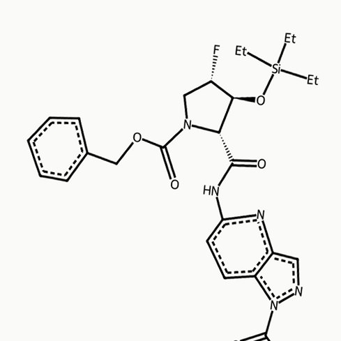 CC[Si](CC)(CC)O[C@@H]1[C@@H](F)CN(C(=O)OCc2ccccc2)[C@H]1C(=O)Nc1ccc2c(cnn2C(=O)OC(C)(C)C)n1